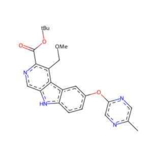 COCc1c(C(=O)OC(C)(C)C)ncc2[nH]c3ccc(Oc4cnc(C)cn4)cc3c12